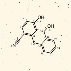 N#Cc1ccc(O)cc1Sc1ccccc1CO